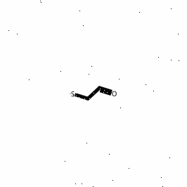 O=CC[S]